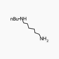 CCCCNCCCCCCN